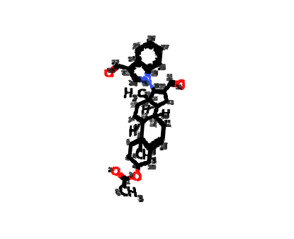 CC(=O)OC1CC[C@@]2(C)C(=CC[C@@H]3[C@@H]2CC[C@]2(C)C(n4cc(C=O)c5ccccc54)=C(C=O)C[C@@H]32)C1